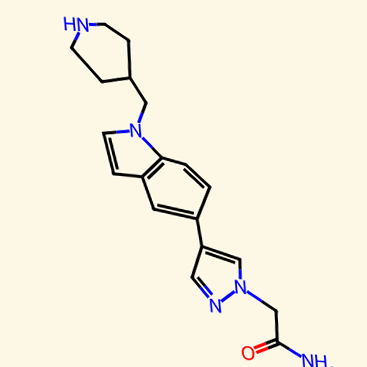 NC(=O)Cn1cc(-c2ccc3c(ccn3CC3CCNCC3)c2)cn1